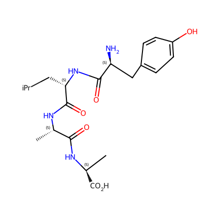 CC(C)C[C@H](NC(=O)[C@@H](N)Cc1ccc(O)cc1)C(=O)N[C@@H](C)C(=O)N[C@@H](C)C(=O)O